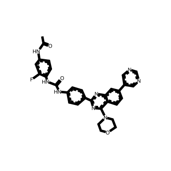 CC(=O)Nc1ccc(NC(=O)Nc2ccc(-c3nc(N4CCOCC4)c4ccc(-c5cncnc5)cc4n3)cc2)c(F)c1